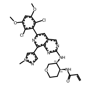 C=CC(=O)N[C@H]1CCOC[C@H]1Nc1ncc2cc(-c3c(Cl)c(OC)cc(OC)c3Cl)nc(-c3cnn(C)c3)c2n1